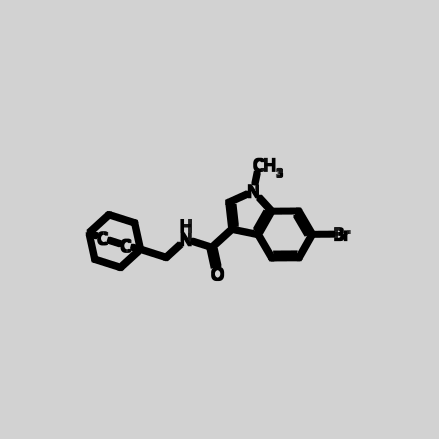 Cn1cc(C(=O)NCC23CCC(CC2)CC3)c2ccc(Br)cc21